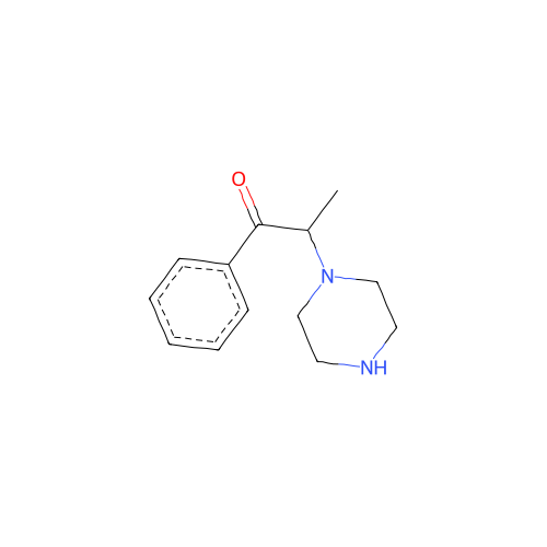 CC(C(=O)c1ccccc1)N1CCNCC1